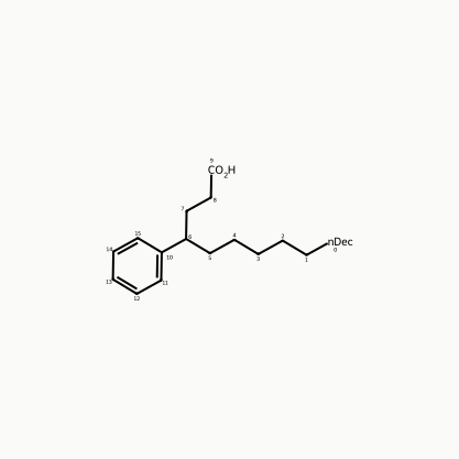 CCCCCCCCCCCCCCCC(CCC(=O)O)c1ccccc1